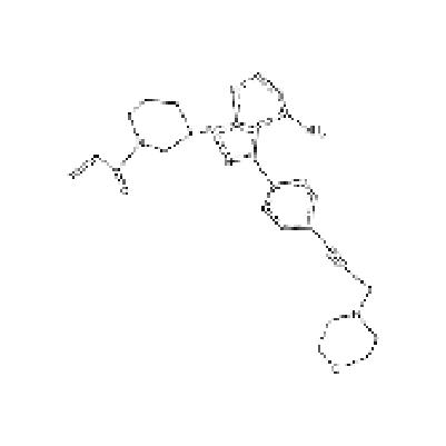 C=CC(=O)N1CCCC(n2nc(-c3ccc(C#CCN4CCOCC4)cc3)c3c(N)ncnc32)C1